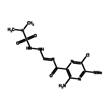 CNc1nc(N)c(C(=O)N=CNNS(=O)(=O)N(C)C)nc1Cl